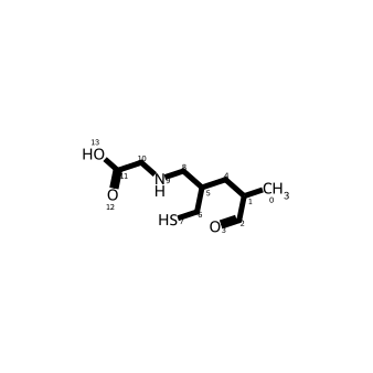 CC(C=O)CC(CS)CNCC(=O)O